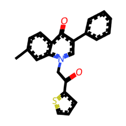 Cc1ccc2c(=O)c(-c3ccccc3)cn(CC(=O)c3cccs3)c2c1